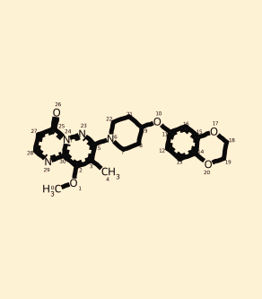 COc1c(C)c(N2CCC(Oc3ccc4c(c3)OCCO4)CC2)nn2c(=O)ccnc12